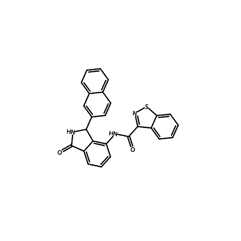 O=C1NC(c2ccc3ccccc3c2)c2c(NC(=O)c3nsc4ccccc34)cccc21